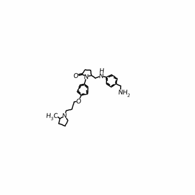 CC1CCCN1CCCOc1ccc(N2C(=O)CCC2CNc2ccc(CN)cc2)cc1